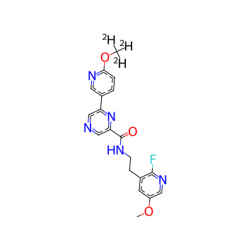 [2H]C([2H])([2H])Oc1ccc(-c2cncc(C(=O)NCCc3cc(OC)cnc3F)n2)cn1